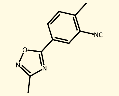 [C-]#[N+]c1cc(-c2nc(C)no2)ccc1C